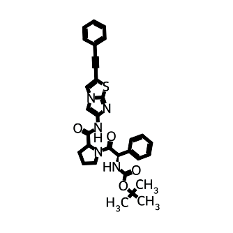 CC(C)(C)OC(=O)N[C@@H](C(=O)N1CCCC1C(=O)Nc1cn2cc(C#Cc3ccccc3)sc2n1)c1ccccc1